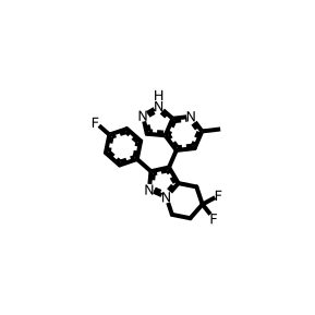 Cc1cc(-c2c(-c3ccc(F)cc3)nn3c2CC(F)(F)CC3)c2cn[nH]c2n1